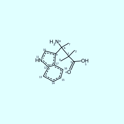 CC(C)(C(=O)O)C(C)(N)c1c[nH]c2ccccc12